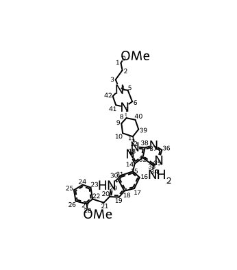 COCCCN1CCN([C@H]2CC[C@H](n3nc(-c4ccc5cc(Cc6ccccc6OC)[nH]c5c4)c4c(N)ncnc43)CC2)CC1